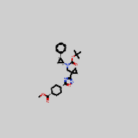 COC(=O)[C@H]1CC[C@H](c2nc(C3(CN(C(=O)OC(C)(C)C)[C@H]4C[C@H]4c4ccccc4)CC3)no2)CC1